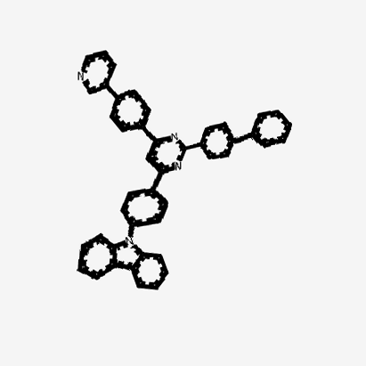 c1ccc(-c2ccc(-c3nc(-c4ccc(-c5cccnc5)cc4)cc(-c4ccc(-n5c6ccccc6c6ccccc65)cc4)n3)cc2)cc1